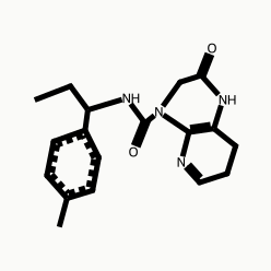 CCC(NC(=O)N1CC(=O)NC2=C1N=CCC2)c1ccc(C)cc1